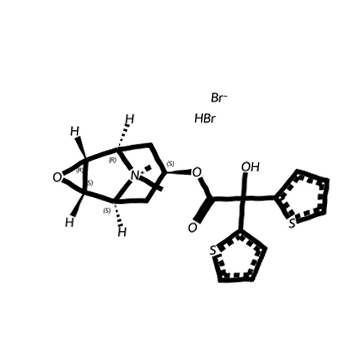 Br.C[N+]1(C)[C@@H]2C[C@@H](OC(=O)C(O)(c3cccs3)c3cccs3)C[C@H]1[C@@H]1O[C@@H]12.[Br-]